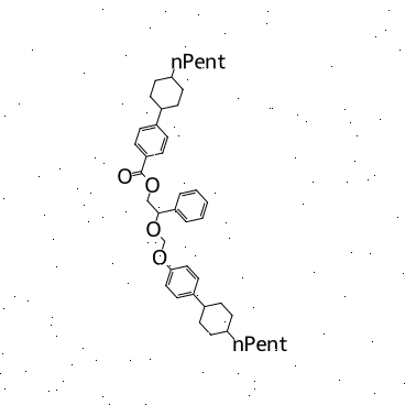 CCCCCC1CCC(c2ccc(OCOC(COC(=O)c3ccc(C4CCC(CCCCC)CC4)cc3)c3ccccc3)cc2)CC1